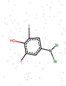 Oc1c(I)c[c]([Bi]([Br])[Br])cc1I